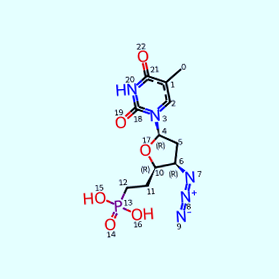 Cc1cn([C@H]2C[C@@H](N=[N+]=[N-])[C@@H](CCP(=O)(O)O)O2)c(=O)[nH]c1=O